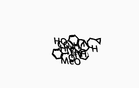 COC12CC[C@@]3(C[C@@H]1CNC(=O)c1ccccc1C(=O)O)[C@H]1Cc4ccc(O)c5c4[C@@]3(CCN1CC1CC1)[C@H]2O5